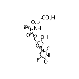 CC(C)C(NC(=O)CCC(=O)O)[PH](=O)OC[C@@H]1O[C@H](n2cc(F)c(=O)[nH]c2=O)CC1O